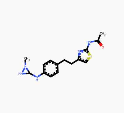 CC(=O)Nc1nc(CCc2ccc(NC3NN3C)cc2)cs1